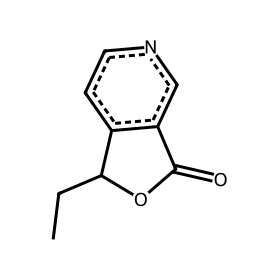 CCC1OC(=O)c2cnccc21